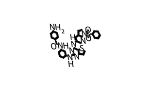 Nc1ccc(C(=O)Nc2cccc(Nc3nc(Nc4cnc5c(ccn5S(=O)(=O)c5ccccc5)c4)c4sccc4n3)c2)cc1